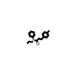 CCCN(C(=O)/C=C/c1ccc(C)cc1)c1ccccc1